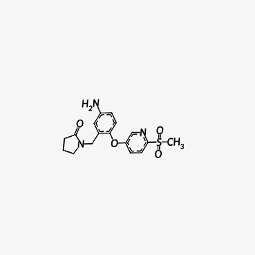 CS(=O)(=O)c1ccc(Oc2ccc(N)cc2CN2CCCC2=O)cn1